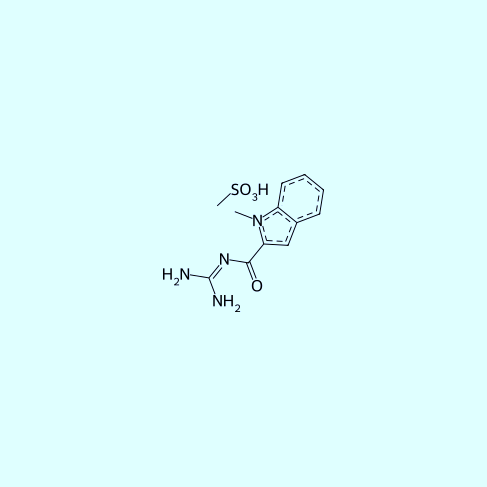 CS(=O)(=O)O.Cn1c(C(=O)N=C(N)N)cc2ccccc21